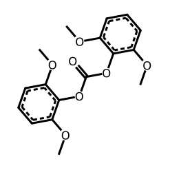 COc1cccc(OC)c1OC(=O)Oc1c(OC)cccc1OC